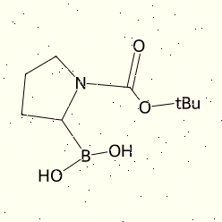 CC(C)(C)OC(=O)N1CCCC1B(O)O